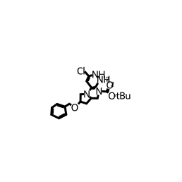 CC(C)(C)OC(=O)N1CC2CC(OCc3ccccc3)CN2C(/C=C(\N)Cl)=C1N